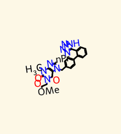 CCCc1nc2c(c(=O)n(CC(=O)OC)c(=O)n2C)n1Cc1ccc(-c2ccccc2-c2nnn[nH]2)cc1